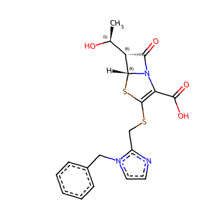 C[C@H](O)[C@@H]1C(=O)N2C(C(=O)O)=C(SCc3nccn3Cc3ccccc3)S[C@H]12